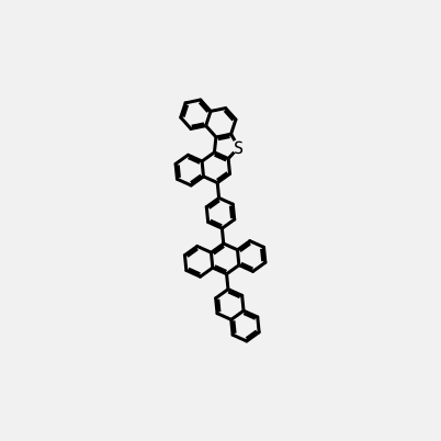 c1ccc2cc(-c3c4ccccc4c(-c4ccc(-c5cc6sc7ccc8ccccc8c7c6c6ccccc56)cc4)c4ccccc34)ccc2c1